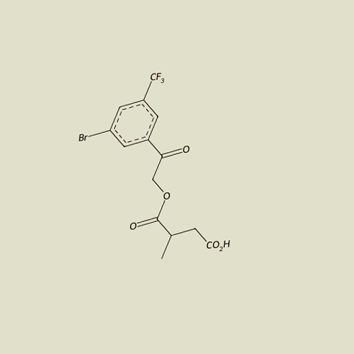 CC(CC(=O)O)C(=O)OCC(=O)c1cc(Br)cc(C(F)(F)F)c1